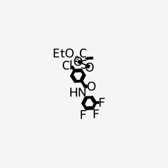 CCOC(=O)C(C)S(=O)(=O)c1cc(C(=O)Nc2cc(F)c(F)c(F)c2)ccc1Cl